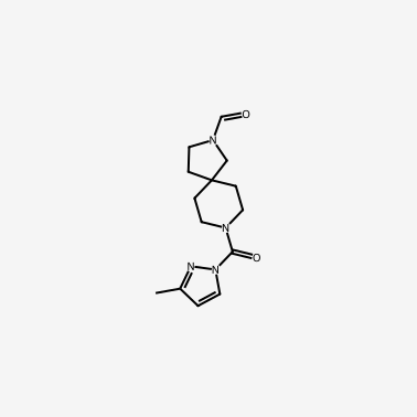 Cc1ccn(C(=O)N2CCC3(CCN(C=O)C3)CC2)n1